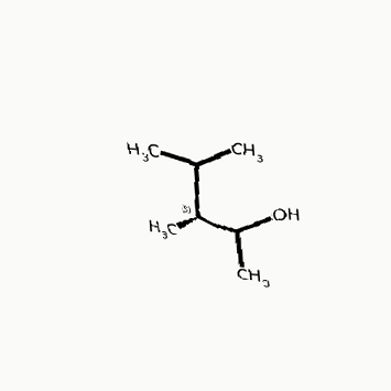 CC(C)[C@H](C)C(C)O